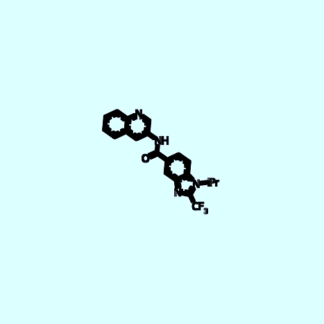 CC(C)n1c(C(F)(F)F)nc2cc(C(=O)Nc3cnc4ccccc4c3)ccc21